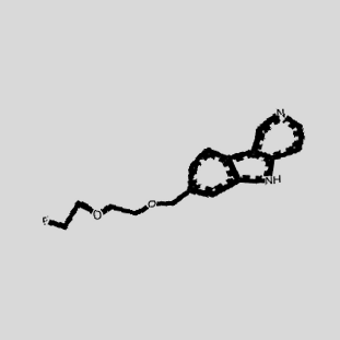 FCCOCCOCc1ccc2c(c1)[nH]c1ccncc12